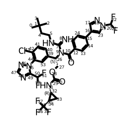 CC(C)(C)CCNC(=N)N(C(=O)c1ccc(-c2cnn(C(F)F)c2)cc1)[C@H](COC(=O)N[C@@H]1C[C@H]1C(F)(F)F)c1ccc(Cl)c(-n2ncnc2C(F)F)c1